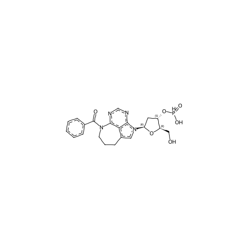 O=C(c1ccccc1)N1CCCc2cn([C@H]3C[C@H](O[PH](=O)O)[C@@H](CO)O3)c3ncnc1c23